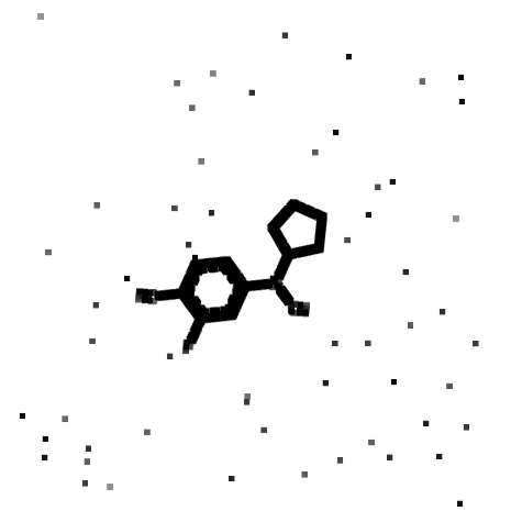 N#Cc1ccc(N(C#N)C2CCCC2)cc1F